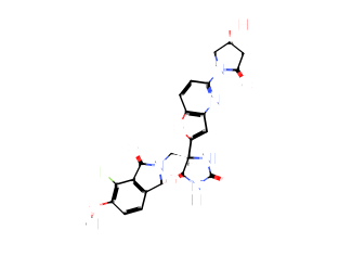 COc1ccc2c(c1F)C(=O)N(C[C@@]1(c3cc4nc(N5C[C@@H](O)CC5=O)ccc4o3)NC(=O)NC1=O)C2